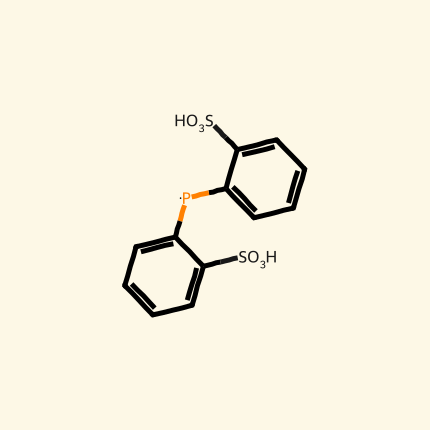 O=S(=O)(O)c1ccccc1[P]c1ccccc1S(=O)(=O)O